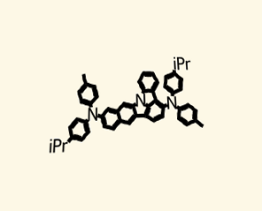 Cc1ccc(N(c2ccc(C(C)C)cc2)c2ccc3cc4c5ccc(N(c6ccc(C)cc6)c6ccc(C(C)C)cc6)c6c7ccccc7n(c4cc3c2)c56)cc1